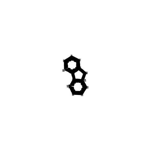 [c]1ccc2c(n1)-c1n[c]ccc1C2